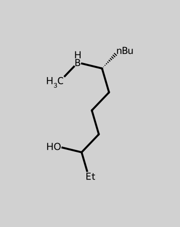 CB[C@H](CCCC)CCCC(O)CC